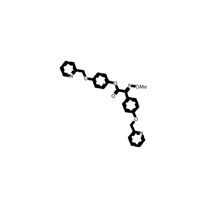 CON=C(C(=O)Oc1ccc(OCc2ccccn2)cc1)c1ccc(OCc2ccccn2)cc1